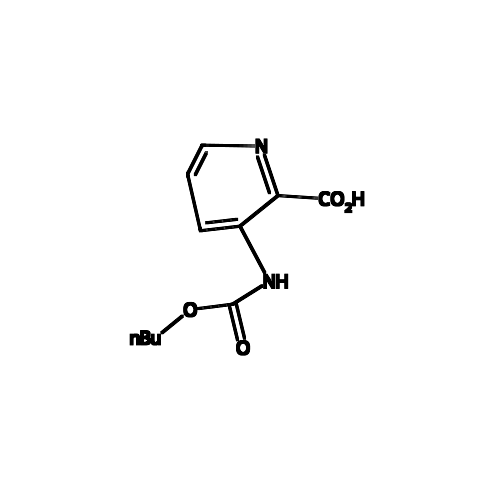 CCCCOC(=O)Nc1cccnc1C(=O)O